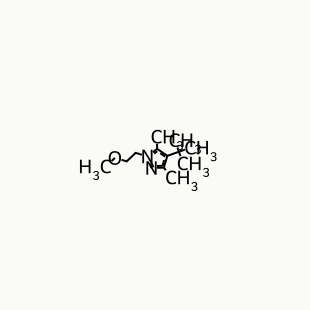 COCCn1nc(C)c(C(C)(C)C)c1C